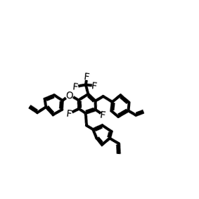 C=Cc1ccc(Cc2c(F)c(Cc3ccc(C=C)cc3)c(C(F)(F)F)c(Oc3ccc(C=C)cc3)c2F)cc1